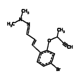 C#CC(C)Oc1cc(Br)ccc1C=CC=NN(C)C